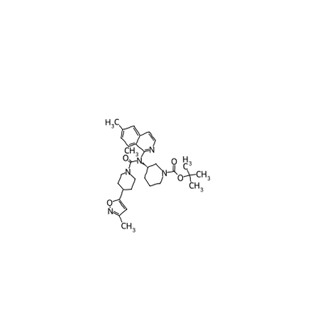 Cc1cc(C)c2c(N(C(=O)N3CCC(c4cc(C)no4)CC3)[C@@H]3CCCN(C(=O)OC(C)(C)C)C3)nccc2c1